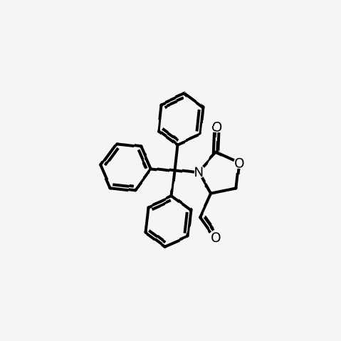 O=CC1COC(=O)N1C(c1ccccc1)(c1ccccc1)c1ccccc1